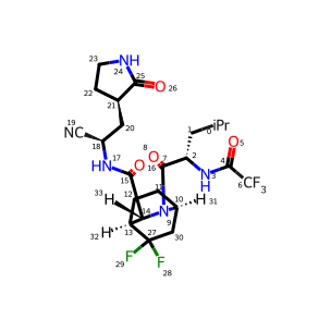 CC(C)C[C@H](NC(=O)C(F)(F)F)C(=O)N1[C@H]2CC[C@@H]([C@@H]1C(=O)N[C@@H](C#N)C[C@H]1CCNC1=O)C(F)(F)C2